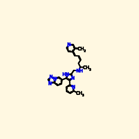 C=c1cncc/c1=C/C=C\CC(C)NCc1nc(-c2cccc(C)n2)c(-c2ccc3ncnn3c2)[nH]1